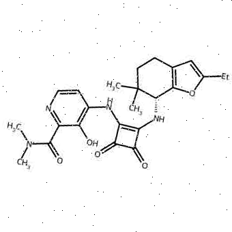 CCc1cc2c(o1)[C@H](Nc1c(Nc3ccnc(C(=O)N(C)C)c3O)c(=O)c1=O)C(C)(C)CC2